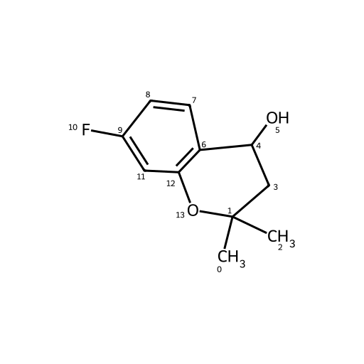 CC1(C)CC(O)c2ccc(F)cc2O1